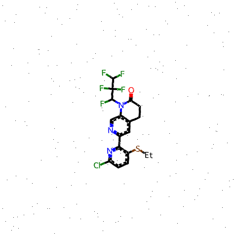 CCSc1ccc(Cl)nc1-c1cc2c(cn1)N(C(F)C(F)(F)C(F)F)C(=O)CC2